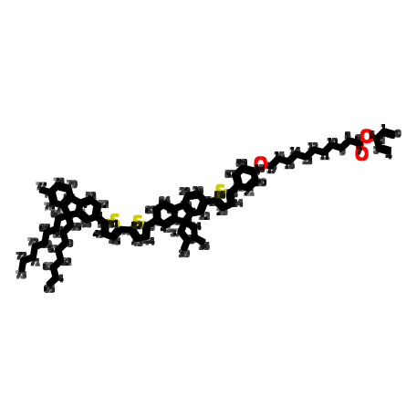 C=CC(C=C)OC(=O)CCCCCCCCCCOc1ccc(-c2ccc(-c3ccc4c(c3)C(CCC)(CCC)c3cc(-c5ccc(-c6ccc(-c7ccc8c(c7)C(CCCCCCCC)(CCCCCCCC)c7cc(C)ccc7-8)s6)s5)ccc3-4)s2)cc1